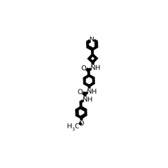 COc1ccc(CNC(=O)NC2CCC(C(=O)NC3CC(c4ccncc4)C3)CC2)cc1